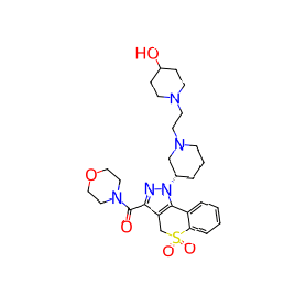 O=C(c1nn([C@H]2CCCN(CCN3CCC(O)CC3)C2)c2c1CS(=O)(=O)c1ccccc1-2)N1CCOCC1